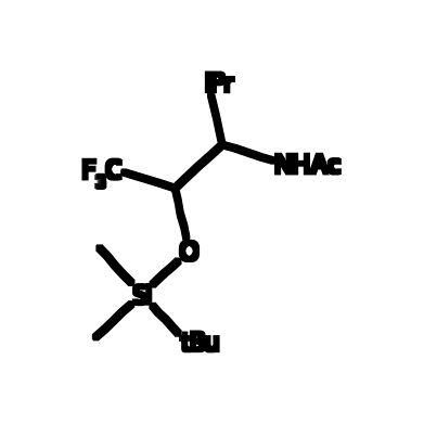 CC(=O)NC(C(C)C)C(O[Si](C)(C)C(C)(C)C)C(F)(F)F